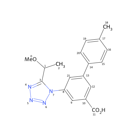 COC(C)c1nnnn1-c1cc(C(=O)O)cc(-c2ccc(C)cc2)c1